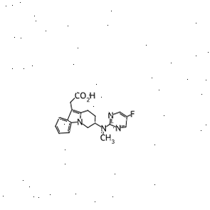 CN(c1ncc(F)cn1)C1CCc2c(CC(=O)O)c3ccccc3n2C1